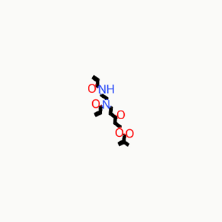 C=CC(=O)NCCN(CCC(=O)CCOC(=O)C(=C)C)C(=O)C=C